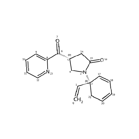 C=C[C@@]1(N2C[C@H](C(=O)c3ccccn3)CC2=O)C=CC=CC1